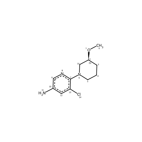 CO[C@H]1CCCN(c2ncc(N)cc2Cl)C1